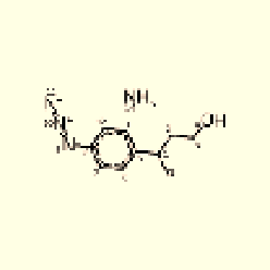 CC(CCO)c1ccc(N=[N+]=[N-])cc1.N